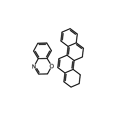 C1=Nc2ccccc2OC1.C1=c2ccc3c(c2CCC1)CC=c1ccccc1=3